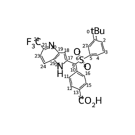 CC(C)(C)c1cccc(S(=O)(=O)C(c2ccc(C(=O)O)cc2)c2cc3nc(C(F)(F)F)ccc3[nH]2)c1